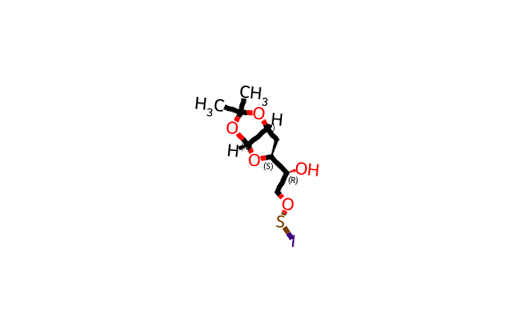 CC1(C)O[C@H]2O[C@H]([C@H](O)COSI)C[C@H]2O1